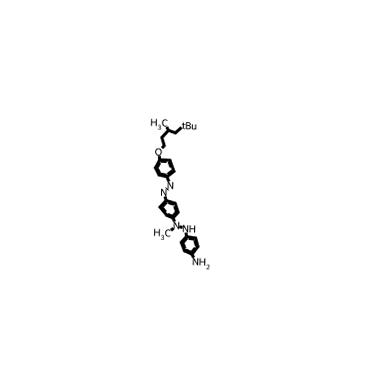 CC(CCOc1ccc(/N=N/c2ccc(N(C)Nc3ccc(N)cc3)cc2)cc1)CC(C)(C)C